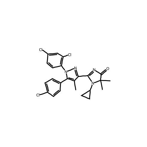 Cc1c(C2=NC(=O)C(C)(C)N2C2CC2)nn(-c2ccc(Cl)cc2Cl)c1-c1ccc(Cl)cc1